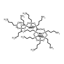 COO[Si](CCCN)(OC(C)=O)O[Si](CCCN)(OC)O[Si](CCCN)(OC(C)=O)O[Si](CCCN)(OC)O[Si](CCCN)(OC(C)=O)O[Si](CCCN)(OC)O[Si](CCCN)(OC(C)=O)O[Si](CCCN)(OC)O[Si](CCCN)(OC(C)=O)O[SiH](CCCN)OC